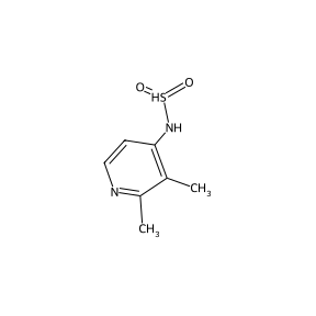 Cc1nccc(N[SH](=O)=O)c1C